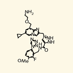 COc1ccc(-n2cnnn2)c(CNC(=O)C2=CN(Cc3cn4cc(C5CC5)cc(COCCN)c4n3)NN2)c1F